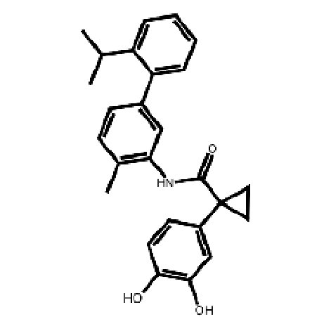 Cc1ccc(-c2ccccc2C(C)C)cc1NC(=O)C1(c2ccc(O)c(O)c2)CC1